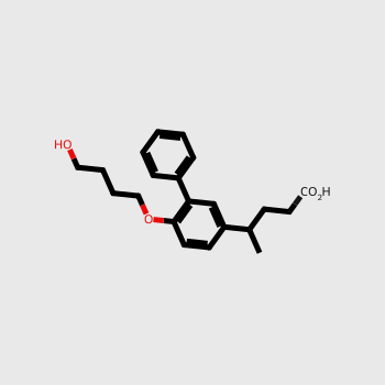 CC(CCC(=O)O)c1ccc(OCCCCO)c(-c2ccccc2)c1